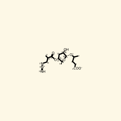 CC(CCC(=O)[O-])O[C@@H]1O[C@@H](C)[C@H](OC(=O)C(C)CN=[N+]=N)C[C@H]1O